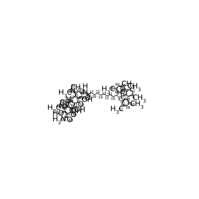 Cc1cc(C)cc([PH](CCCCCCCCCCC(=O)Nc2cc(N(C)C)c3c(c2O)C(=O)C2=C(O)[C@]4(O)C(=O)C(C(N)=O)=C(O)[C@@H](N(C)C)[C@@H]4C[C@@H]2C3)(c2cc(C)cc(C)c2)c2cc(C)cc(C)c2)c1